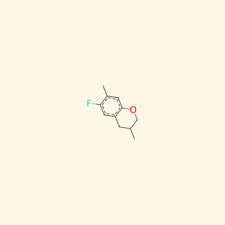 Cc1cc2c(cc1F)CC(C)CO2